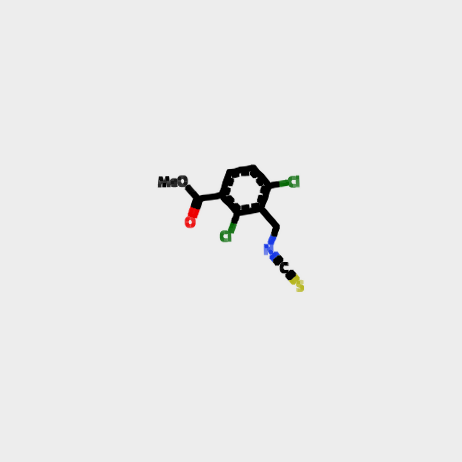 COC(=O)c1ccc(Cl)c(CN=C=S)c1Cl